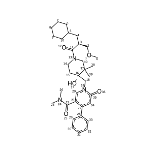 COC[C@H](CC1CCCCC1)C(=O)N1CC[C@](O)(Cn2cc(C(=O)N(C)C)c(-c3ccccc3)cc2=O)C(C)(C)C1